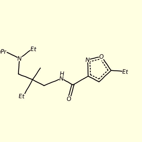 CCCN(CC)CC(C)(CC)CNC(=O)c1cc(CC)on1